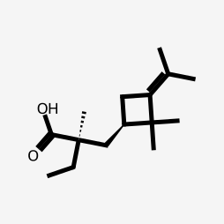 CC[C@](C)(C[C@H]1CC(=C(C)C)C1(C)C)C(=O)O